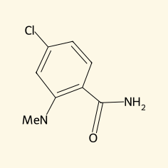 CNc1cc(Cl)ccc1C(N)=O